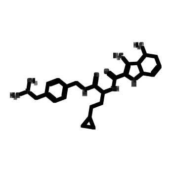 CC1=C(C(=O)NC(CCC2CC2)C(=O)NCc2ccc(CN(C)C)cc2)NC2C=CCC(C)C12